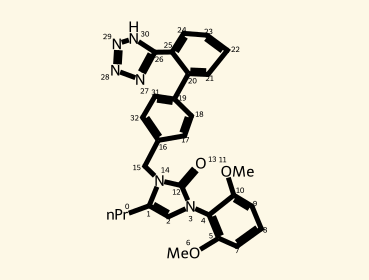 CCCc1cn(-c2c(OC)cccc2OC)c(=O)n1Cc1ccc(-c2ccccc2-c2nnn[nH]2)cc1